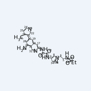 CCS(=O)(=O)NCCn1cc(NC(=O)C(=O)Nc2cc3cc(-c4cnccc4C)cc(N)c3cn2)cn1